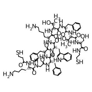 C[C@@H](O)[C@H](NC(=O)[C@H](Cc1ccccc1)NC(=O)[C@@H](NC(=O)[C@H](CCCCN)NC(=O)[C@H](Cc1c[nH]c2ccccc12)NC(=O)[C@H](Cc1ccccc1)NC(=O)[C@H](Cc1ccccc1)NC(=O)CNC(=O)[C@H](CCCCN)NC(=O)CCS)[C@@H](C)O)C(=O)N[C@@H](CO)C(=O)NCCS